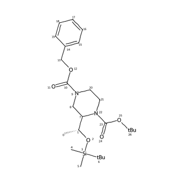 C[C@@H](O[Si](C)(C)C(C)(C)C)C1CN(C(=O)OCc2ccccc2)CCN1C(=O)OC(C)(C)C